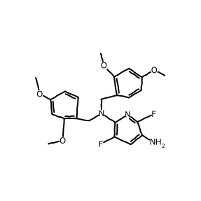 COc1ccc(CN(Cc2ccc(OC)cc2OC)c2nc(F)c(N)cc2F)c(OC)c1